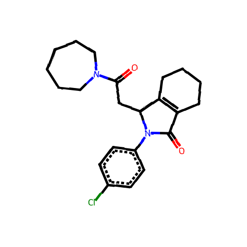 O=C(CC1C2=C(CCCC2)C(=O)N1c1ccc(Cl)cc1)N1CCCCCC1